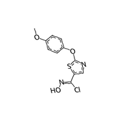 COc1ccc(Oc2ncc(C(Cl)=NO)s2)cc1